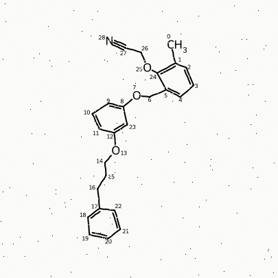 Cc1cccc(COc2cccc(OCCCc3ccccc3)c2)c1OCC#N